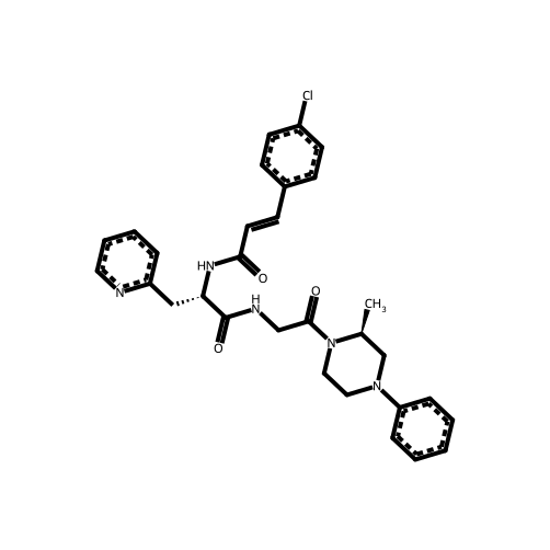 C[C@H]1CN(c2ccccc2)CCN1C(=O)CNC(=O)[C@H](Cc1ccccn1)NC(=O)C=Cc1ccc(Cl)cc1